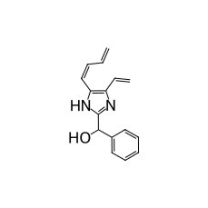 C=C/C=C\c1[nH]c(C(O)c2ccccc2)nc1C=C